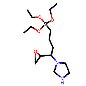 CCO[Si](CCCC(C1CO1)N1CCNC1)(OCC)OCC